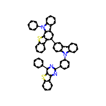 c1ccc(-c2nc(-c3cccc(-n4c5ccccc5c5cc(-c6cc7c8ccccc8n(-c8ccccc8)c7c7sc8ccccc8c67)ccc54)c3)nc3c2sc2ccccc23)cc1